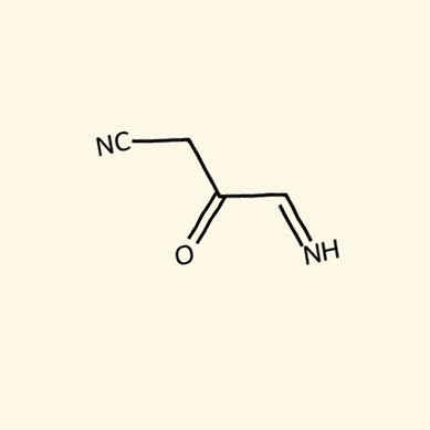 N#CCC(=O)C=N